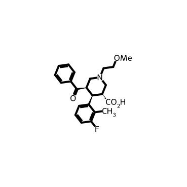 COCCN1C[C@H](C(=O)O)[C@@H](c2cccc(F)c2C)[C@@H](C(=O)c2ccccc2)C1